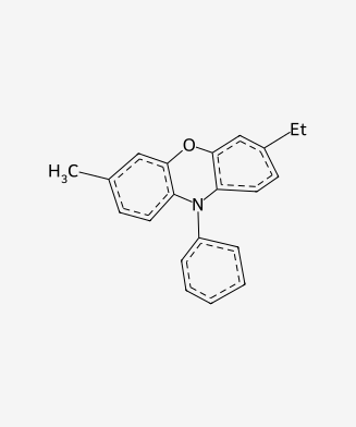 CCc1ccc2c(c1)Oc1cc(C)ccc1N2c1ccccc1